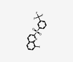 O=S(=O)(c1cccc(C(F)(F)F)c1)c1ccc2cccc(I)c2n1